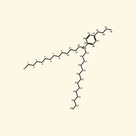 CCCCCCCCCCCCCCN(CCCCCCCCCCCCCC)c1ccc(CCCC)cc1